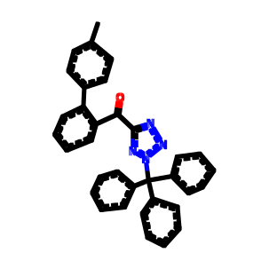 Cc1ccc(-c2ccccc2C(=O)c2nnn(C(c3ccccc3)(c3ccccc3)c3ccccc3)n2)cc1